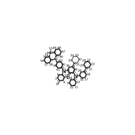 Cc1ccc2c(c1)B1c3ccccc3N(c3cccc(-c4ccccc4)c3)c3cc(C4CCCCC4)cc(c31)N2c1ccc(C2c3ccccc3C(C)(C)c3ccccc32)cc1